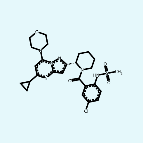 CS(=O)(=O)Nc1ccc(Cl)cc1C(=O)N1CCCC[C@H]1c1cc2nc(C3CC3)cc(N3CCOCC3)n2n1